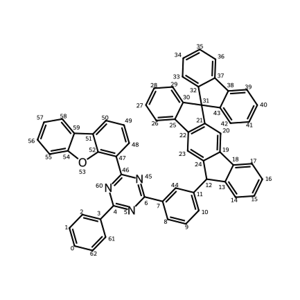 c1ccc(-c2nc(-c3cccc(C4c5ccccc5-c5cc6c(cc54)-c4ccccc4C64c5ccccc5-c5ccccc54)c3)nc(-c3cccc4c3oc3ccccc34)n2)cc1